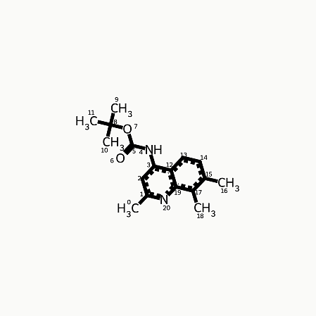 Cc1cc(NC(=O)OC(C)(C)C)c2ccc(C)c(C)c2n1